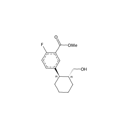 COC(=O)c1cc([C@@H]2CCCC[C@H]2CO)ccc1F